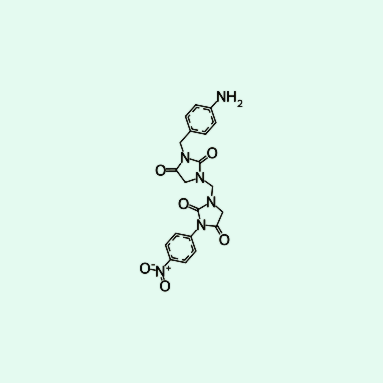 Nc1ccc(CN2C(=O)CN(CN3CC(=O)N(c4ccc([N+](=O)[O-])cc4)C3=O)C2=O)cc1